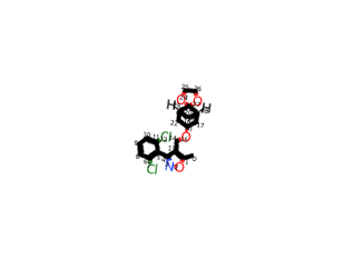 Cc1onc(-c2c(Cl)cccc2Cl)c1CO[C@@H]1C[C@H]2CC[C@@H](C1)C21OCCO1